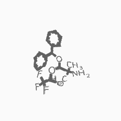 CC(C)(N)C(OC(=O)C(F)(F)F)OC(c1ccccc1)c1ccccc1